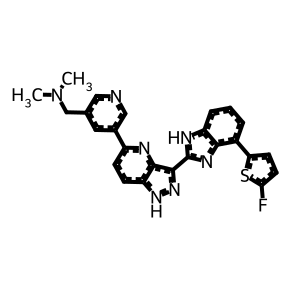 CN(C)Cc1cncc(-c2ccc3[nH]nc(-c4nc5c(-c6ccc(F)s6)cccc5[nH]4)c3n2)c1